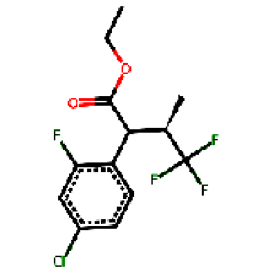 CCOC(=O)C(c1ccc(Cl)cc1F)[C@@H](C)C(F)(F)F